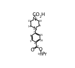 CCCOC(=O)c1ccc(N2CCN(C(=O)O)CC2)cc1